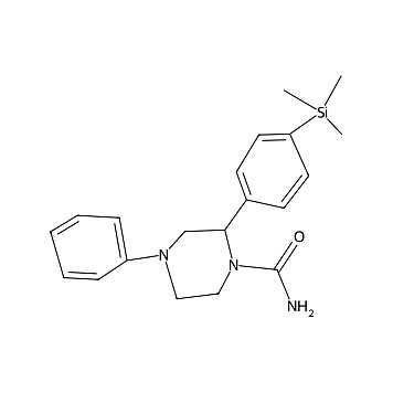 C[Si](C)(C)c1ccc(C2CN(c3ccccc3)CCN2C(N)=O)cc1